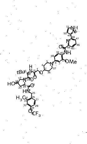 COc1cc(N2CCC(OCC(=O)N[C@H](C(=O)N3C[C@H](O)C[C@H]3C(=O)NCc3ccc(OC(F)(F)F)cc3C)C(C)(C)C)CC2)ccc1NC(=O)c1cccc(-c2cc[nH]n2)n1